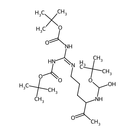 CC(=O)C(CCCN=C(NC(=O)OC(C)(C)C)NC(=O)OC(C)(C)C)NC(O)OC(C)(C)C